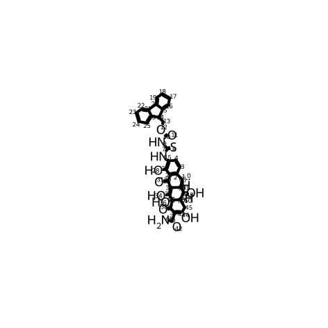 C[C@H]1c2ccc(NC(=S)NC(=O)OCC3c4ccccc4-c4ccccc43)c(O)c2C(=O)C2=C(O)[C@]3(O)C(=O)C(C(N)=O)=C(O)C[C@@H]3[C@@H](O)[C@@H]21